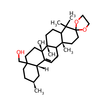 C[C@H]1CCC2(CO)CC[C@@]3(C)C(=CCC4[C@@]5(C)CCC6(OCCO6)C(C)(C)C5CC[C@]43C)[C@@H]2C1